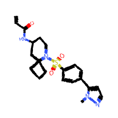 C=CC(=O)NC1CCN(S(=O)(=O)c2ccc(-c3ccnn3C)cc2)C2(CCC2)C1